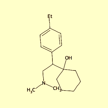 CCc1ccc(C(CN(C)C)C2(O)CCCCC2)cc1